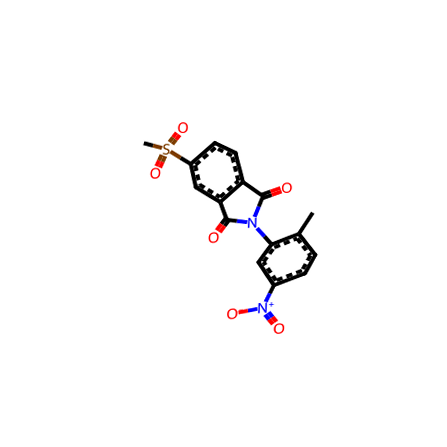 Cc1ccc([N+](=O)[O-])cc1N1C(=O)c2ccc(S(C)(=O)=O)cc2C1=O